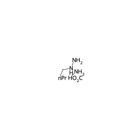 CCCCNN.NC(=O)O